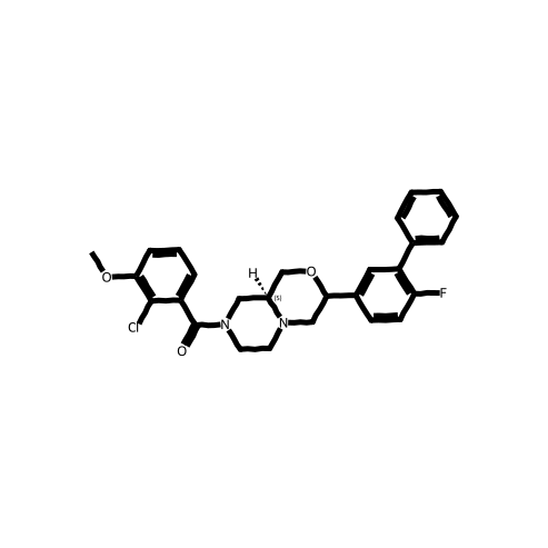 COc1cccc(C(=O)N2CCN3CC(c4ccc(F)c(-c5ccccc5)c4)OC[C@@H]3C2)c1Cl